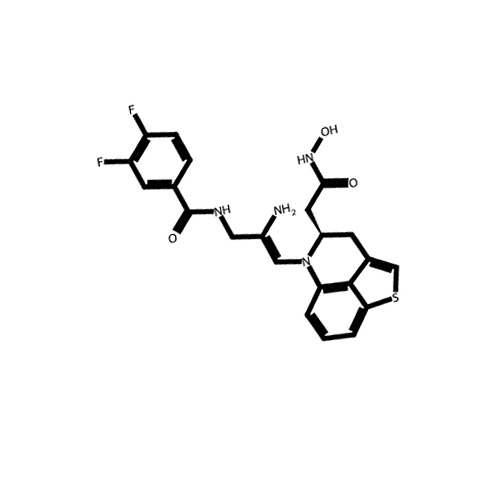 N/C(=C\N1c2cccc3scc(c23)C[C@@H]1CC(=O)NO)CNC(=O)c1ccc(F)c(F)c1